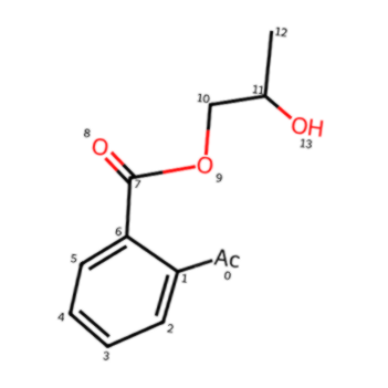 CC(=O)c1ccccc1C(=O)OCC(C)O